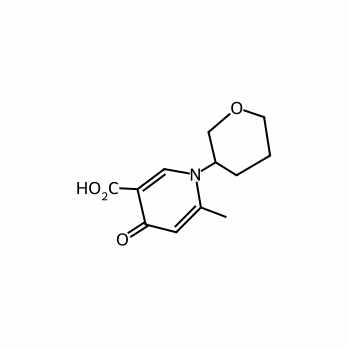 Cc1cc(=O)c(C(=O)O)cn1C1CCCOC1